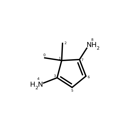 CC1(C)C(N)=CC=C1N